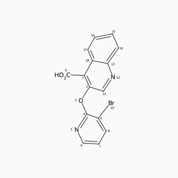 O=C(O)c1c(Oc2ncccc2Br)cnc2ccccc12